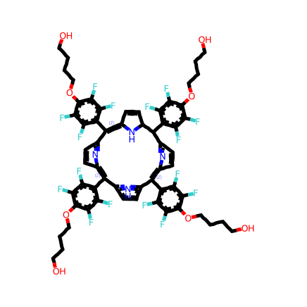 OCCCCOc1c(F)c(F)c(/C2=C3\C=CC(N3)C(c3c(F)c(F)c(OCCCCO)c(F)c3F)C3=N/C(=C(/c4c(F)c(F)c(OCCCCO)c(F)c4F)c4ccc([nH]4)/C(c4c(F)c(F)c(OCCCCO)c(F)c4F)=C4/C=CC2=N4)C=C3)c(F)c1F